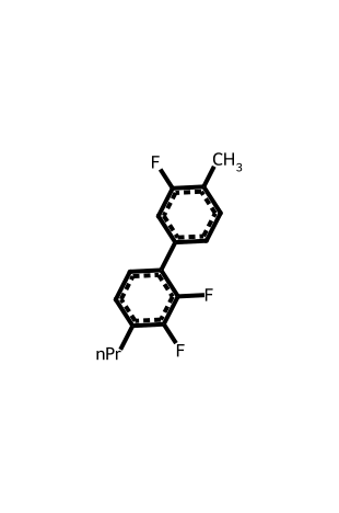 CCCc1ccc(-c2ccc(C)c(F)c2)c(F)c1F